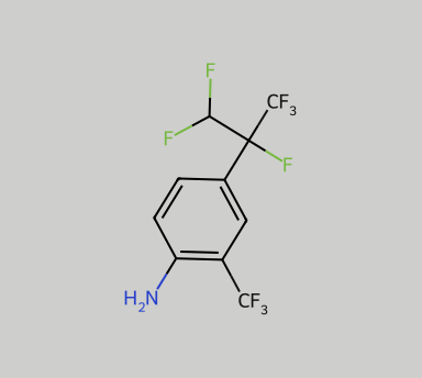 Nc1ccc(C(F)(C(F)F)C(F)(F)F)cc1C(F)(F)F